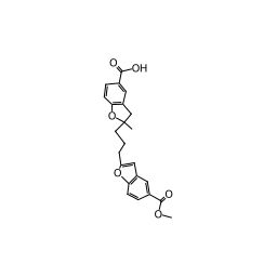 COC(=O)c1ccc2oc(CCCC3(C)Cc4cc(C(=O)O)ccc4O3)cc2c1